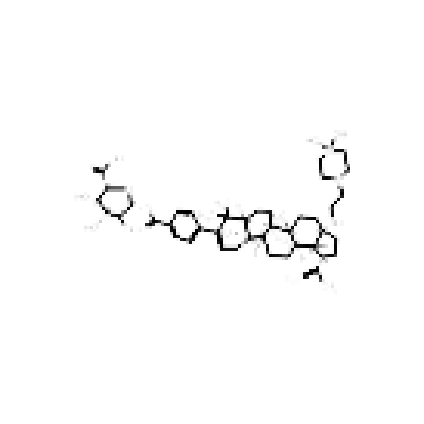 C=C(C)[C@@H]1CC[C@]2(NCCN3CCS(O)(O)CC3)CC[C@]3(C)[C@H](CC[C@@H]4[C@@]5(C)CC=C(c6ccc(C(=O)O[C@H]7O[C@H](C(=O)O)[C@@H](O)[C@H](O)C7O)cc6)C(C)(C)[C@@H]5CC[C@]43C)[C@@H]12